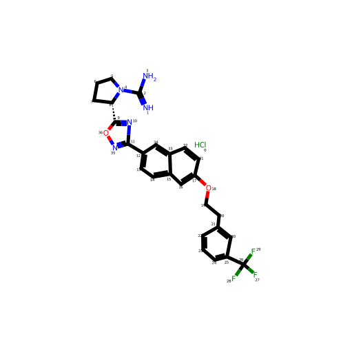 Cl.N=C(N)N1CCC[C@H]1c1nc(-c2ccc3cc(OCCc4cccc(C(F)(F)F)c4)ccc3c2)no1